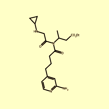 CCOC(=O)CC(C)N(C(=O)CCCc1ccnc(N)c1)C(=O)CNC1CC1